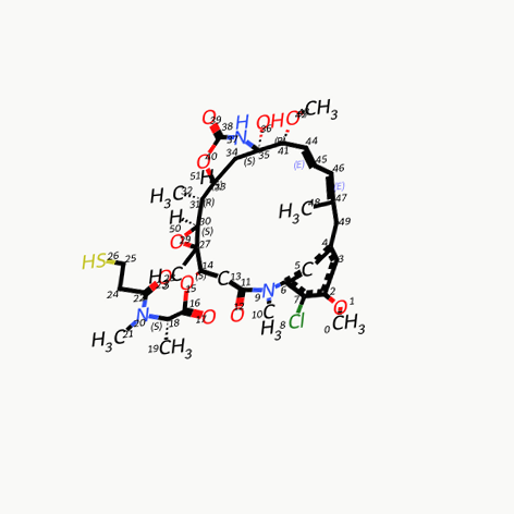 COc1cc2cc(c1Cl)N(C)C(=O)C[C@H](OC(=O)[C@H](C)N(C)C(=O)CCS)C1(C)O[C@H]1[C@H](C)[C@@H]1C[C@@](O)(NC(=O)O1)[C@H](OC)/C=C/C=C(\C)C2